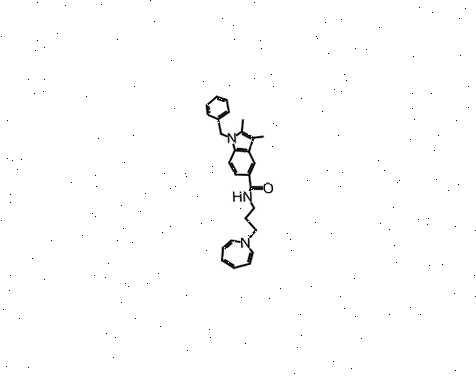 Cc1c(C)n(Cc2ccccc2)c2ccc(C(=O)NCCCN3C=CC=CC=C3)cc12